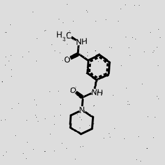 CNC(=O)c1cccc(NC(=O)N2CCCCC2)c1